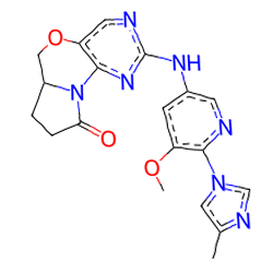 COc1cc(Nc2ncc3c(n2)N2C(=O)CCC2CO3)cnc1-n1cnc(C)c1